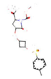 COC(=O)C1CC(OC2CC(OS(=O)(=O)c3ccc(C)cc3)C2)C(=O)N1C(=O)OC(C)(C)C